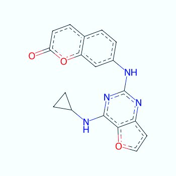 O=c1ccc2ccc(Nc3nc(NC4CC4)c4occc4n3)cc2o1